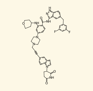 O=C1CCC(n2ccc3cc(C#CCN4CCN(c5ccc(C(=O)Nc6n[nH]c7ccc(Cc8cc(F)cc(F)c8)cc67)c(NC6CCOCC6)c5)CC4)ccc32)C(=O)N1